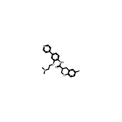 CN(C)CCOc1cc(-c2ccncc2)ccc1NC(=O)C1COc2ccc(F)cc2C1